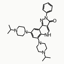 CC(C)N1CCN(c2cc(N3CCN(C(C)C)CC3)c3[nH]cc4c(=O)n(-c5ccccc5)nc-4c3c2)CC1